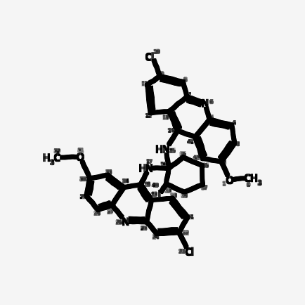 COc1ccc2nc3cc(Cl)ccc3c(NC3(Nc4c5ccc(Cl)cc5nc5ccc(OC)cc45)CCCCC3I)c2c1